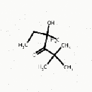 CCC(C)(O)C(=O)C(C)(C)C